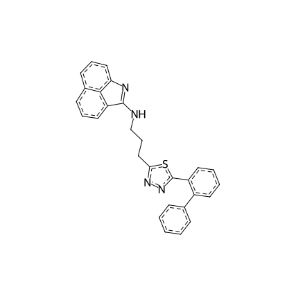 c1ccc(-c2ccccc2-c2nnc(CCCNC3=Nc4cccc5cccc3c45)s2)cc1